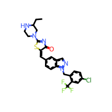 CCC1CN(C2=NC(=O)C(=Cc3ccc4c(cnn4Cc4ccc(Cl)cc4C(F)(F)F)c3)S2)CCN1